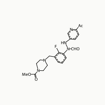 COC(=O)N1CCN(Cc2cccc(N(C=O)Nc3ccc(C(C)=O)nc3)c2F)CC1